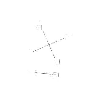 CC(F)(Cl)Cl.CCF